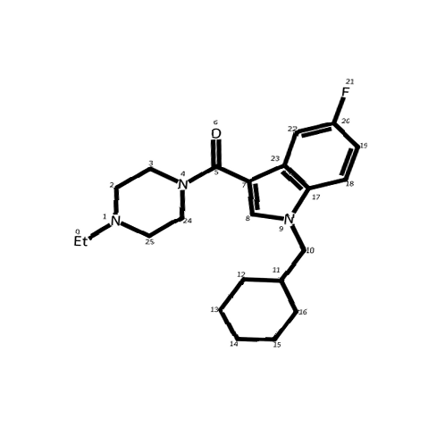 CCN1CCN(C(=O)c2cn(CC3CCCCC3)c3ccc(F)cc23)CC1